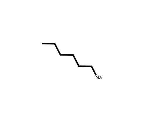 CCCCC[CH2][Na]